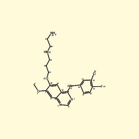 COc1cc2ncnc(Nc3ccc(F)c(Cl)c3)c2cc1OCCCNCCN